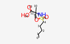 CCCCCS(=O)(=O)NC(C)(C)C(=O)O